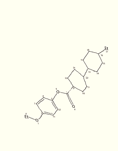 CCOc1ccc(OC(=O)C2CCC(C3CCC(CC)CC3)CC2)cc1